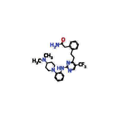 CN(C)C1CCN(c2ccccc2Nc2ncc(C(F)(F)F)c(CCc3ccccc3CC(N)=O)n2)CC1